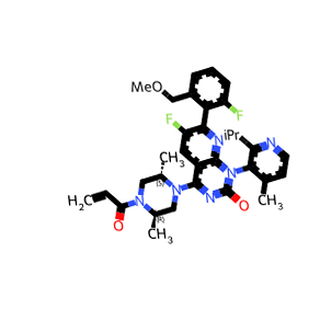 C=CC(=O)N1C[C@H](C)N(c2nc(=O)n(-c3c(C)ccnc3C(C)C)c3nc(-c4c(F)cccc4COC)c(F)cc23)C[C@H]1C